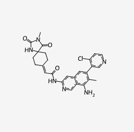 Cc1c(-c2cnccc2Cl)cc2cc(NC(=O)C=C3CCC4(CC3)NC(=O)N(C)C4=O)ncc2c1N